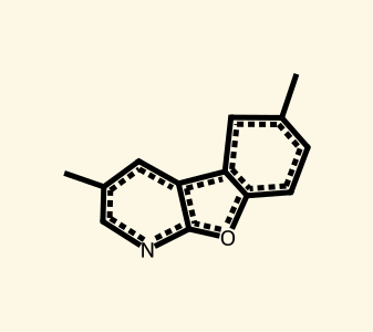 Cc1ccc2oc3ncc(C)cc3c2c1